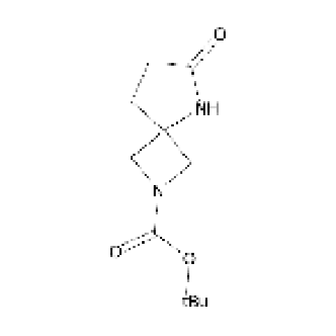 CC(C)(C)OC(=O)N1CC2(CCC(=O)N2)C1